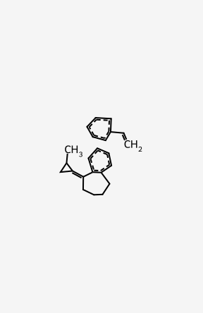 C=Cc1ccccc1.CC1CC1=C1CCCCc2ccccc21